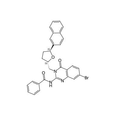 O=C(Nc1nc2cc(Br)ccc2c(=O)n1C[C@@H]1CC[C@@H](c2ccc3ccccc3c2)O1)c1ccccc1